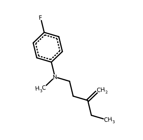 C=C(CC)CCN(C)c1ccc(F)cc1